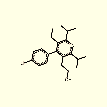 CCc1c(C(C)C)nc(C(C)C)c(CCO)c1-c1ccc(Cl)cc1